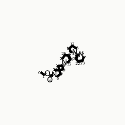 CCOC(=O)N1CCC2(CC(N3CC=C([C@@H]4CCCN4c4ccccn4)CC3)C2)C1